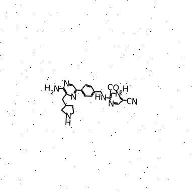 N#Cc1cnc(NCc2ccc(-c3cnc(N)c(CC4CCNC4)n3)cc2)c(C(=O)O)n1